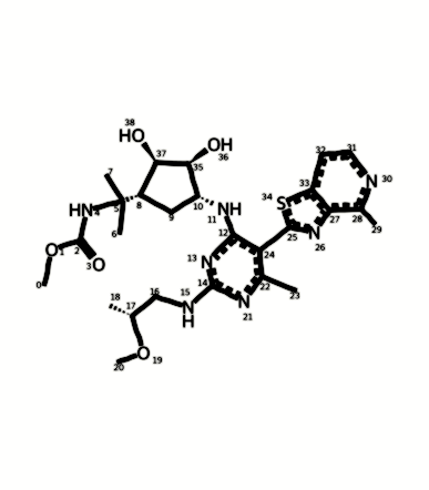 COC(=O)NC(C)(C)[C@H]1C[C@@H](Nc2nc(NC[C@@H](C)OC)nc(C)c2-c2nc3c(C)nccc3s2)[C@H](O)[C@@H]1O